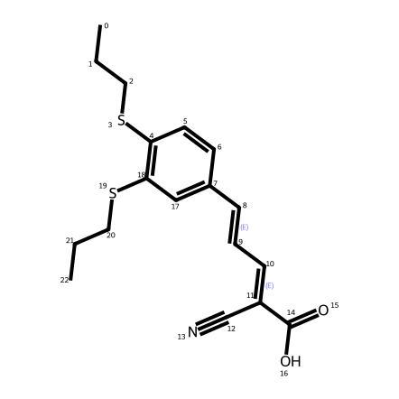 CCCSc1ccc(/C=C/C=C(\C#N)C(=O)O)cc1SCCC